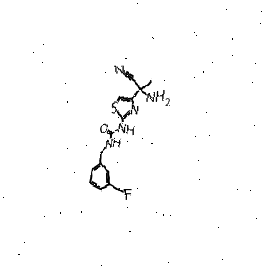 CC(N)(C#N)c1csc(NC(=O)NCc2cccc(F)c2)n1